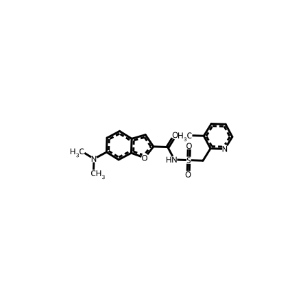 Cc1cccnc1CS(=O)(=O)NC(=O)c1cc2ccc(N(C)C)cc2o1